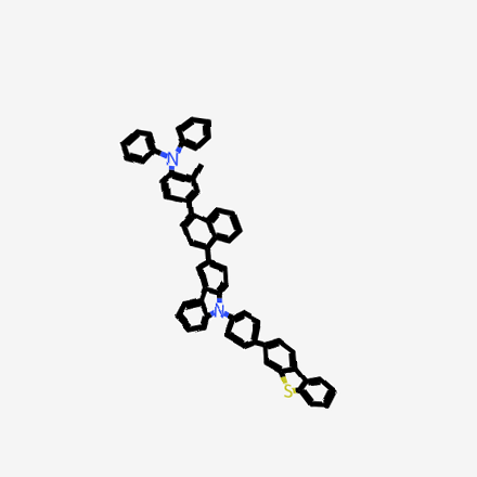 Cc1cc(-c2ccc(-c3ccc4c(c3)c3ccccc3n4-c3ccc(-c4ccc5c(c4)sc4ccccc45)cc3)c3ccccc23)ccc1N(c1ccccc1)c1ccccc1